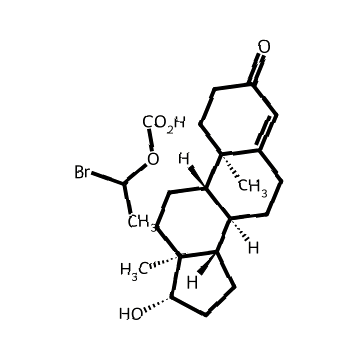 CC(Br)OC(=O)O.C[C@]12CC[C@H]3[C@@H](CCC4=CC(=O)CC[C@@]43C)[C@@H]1CC[C@@H]2O